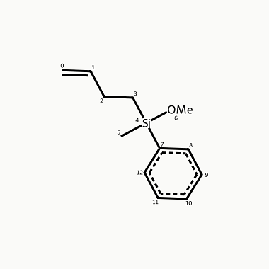 C=CCC[Si](C)(OC)c1ccccc1